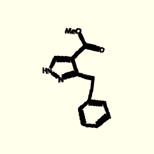 COC(=O)c1c[nH]nc1Cc1ccccc1